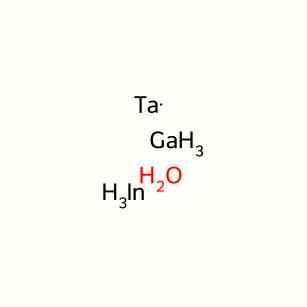 O.[GaH3].[InH3].[Ta]